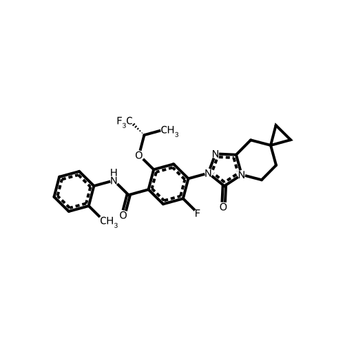 Cc1ccccc1NC(=O)c1cc(F)c(-n2nc3n(c2=O)CCC2(CC2)C3)cc1O[C@@H](C)C(F)(F)F